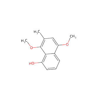 COc1cc(C)c(OC)c2c(O)cccc12